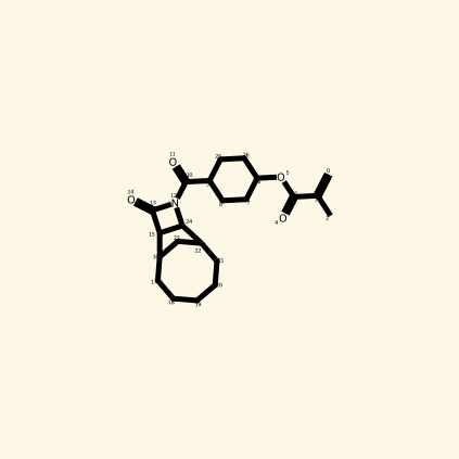 C=C(C)C(=O)OC1CCC(C(=O)N2C(=O)C3C4CCCCCC(C4)C32)CC1